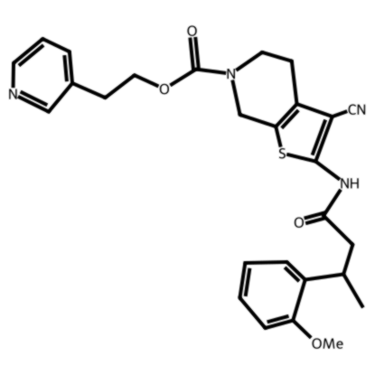 COc1ccccc1C(C)CC(=O)Nc1sc2c(c1C#N)CCN(C(=O)OCCc1cccnc1)C2